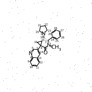 CN(C(=O)C1(c2cnc3ccccc3c2)CC1)[C@H](CN1CCCC1)c1ccccc1